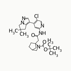 CC1(C)Cc2c(-c3cc(NC(=O)CC45CCC(CN4C(=O)OC(C)(C)C)C5)ncc3Cl)cnn2C1